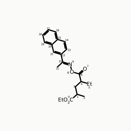 CCOC(=O)C(C)CC(CC)C(=O)ON=C(C)c1ccc2ccccc2c1